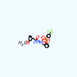 COc1cccc(CCC(=O)N/N=C/c2ccccc2OS(=O)(=O)c2ccc(C(F)(F)F)cc2)c1